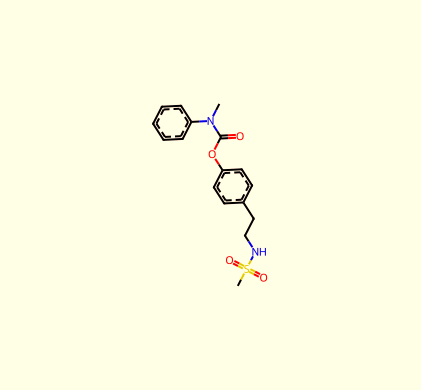 CN(C(=O)Oc1ccc(CCNS(C)(=O)=O)cc1)c1ccccc1